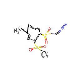 Cc1ccc(S(=O)(=O)C=[N+]=[N-])c(S(C)(=O)=O)c1